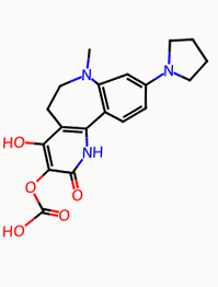 CN1CCc2c([nH]c(=O)c(OC(=O)O)c2O)-c2ccc(N3CCCC3)cc21